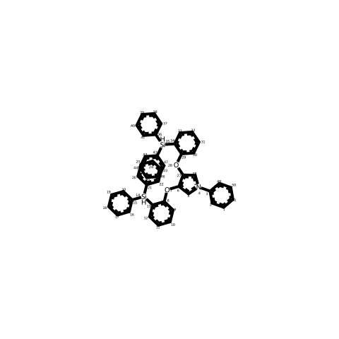 c1ccc(-n2cc(Oc3ccccc3[SiH](c3ccccc3)c3ccccc3)c(Oc3ccccc3[SiH](c3ccccc3)c3ccccc3)c2)cc1